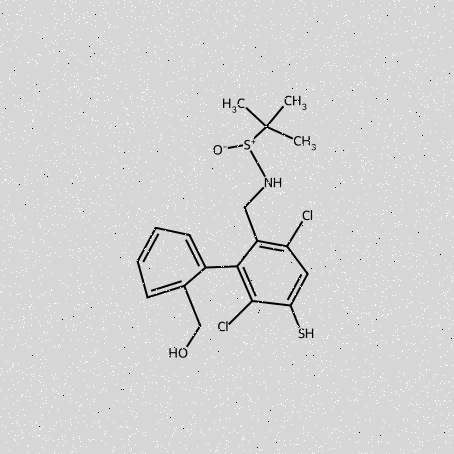 CC(C)(C)[S+]([O-])NCc1c(Cl)cc(S)c(Cl)c1-c1ccccc1CO